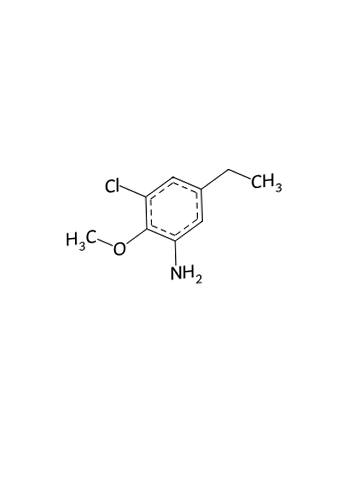 CCc1cc(N)c(OC)c(Cl)c1